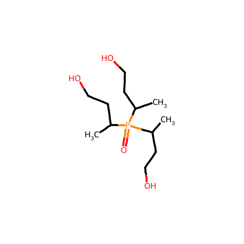 CC(CCO)P(=O)(C(C)CCO)C(C)CCO